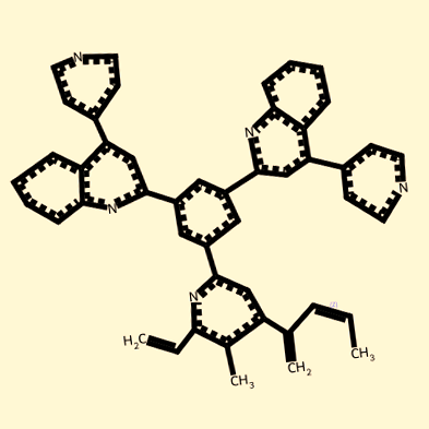 C=Cc1nc(-c2cc(-c3cc(-c4ccncc4)c4ccccc4n3)cc(-c3cc(-c4ccncc4)c4ccccc4n3)c2)cc(C(=C)/C=C\C)c1C